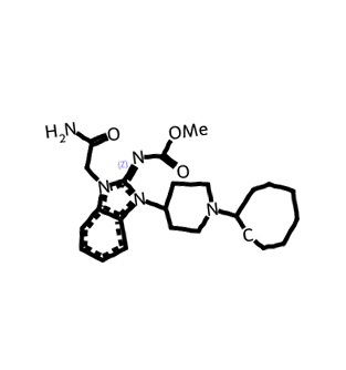 COC(=O)/N=c1/n(CC(N)=O)c2ccccc2n1C1CCN(C2CCCCCCC2)CC1